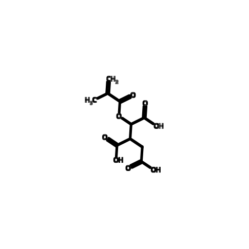 C=C(C)C(=O)OC(C(=O)O)C(CC(=O)O)C(=O)O